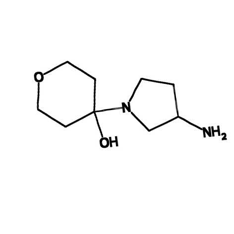 NC1CCN(C2(O)CCOCC2)C1